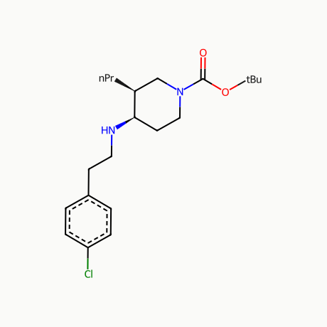 CCC[C@H]1CN(C(=O)OC(C)(C)C)CC[C@H]1NCCc1ccc(Cl)cc1